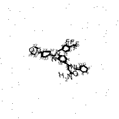 NC(=O)CC(NCC1CCCCC1)c1ccc2c(c1)nc(-c1ccc(N3CCOCC3)cc1)n2Cc1ccc(C(F)(F)F)c(F)c1